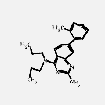 CCCN(CCC)c1nc(N)nc2cc(-c3ccccc3C)ccc12